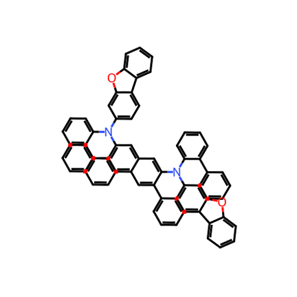 c1ccc(-c2ccccc2N(c2ccc3c(c2)oc2ccccc23)c2cc3cc(N(c4ccc5c(c4)oc4ccccc45)c4ccccc4-c4ccccc4)c(-c4ccccc4)cc3cc2-c2ccccc2)cc1